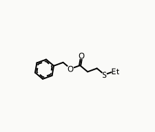 CCSCCC(=O)OCc1ccccc1